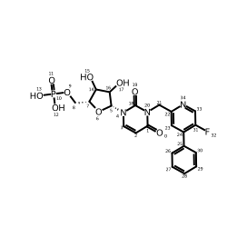 O=c1ccn([C@@H]2O[C@H](COP(=O)(O)O)C(O)C2O)c(=O)n1Cc1cc(-c2ccccc2)c(F)cn1